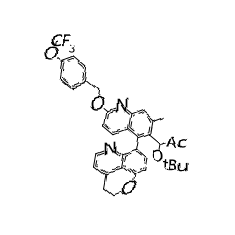 CC(=O)[C@@H](OC(C)(C)C)c1c(C)cc2nc(OCc3ccc(OC(F)(F)F)cc3)ccc2c1-c1ccc2c3c(ccnc13)CCO2